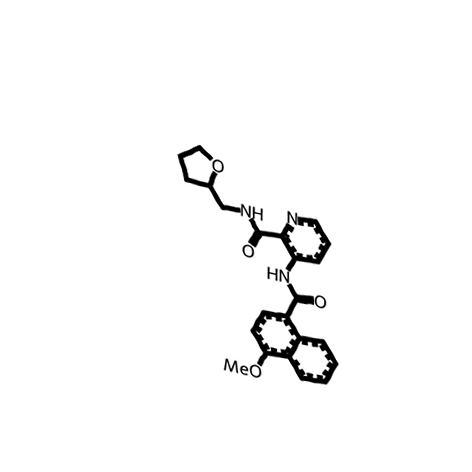 COc1ccc(C(=O)Nc2cccnc2C(=O)NCC2CCCO2)c2ccccc12